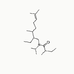 CCC(C)C(=O)N(CC(CC)C(C)CCC=C(C)C)C(C)C